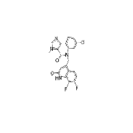 Cn1cncc1C(=O)N(Cc1cc(=O)[nH]c2c(F)c(F)ccc12)c1cccc(Cl)c1